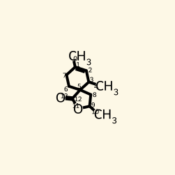 CC1=CC(C)C2(CC1)CC(C)OC2=O